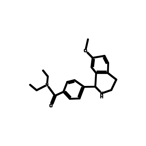 CCN(CC)C(=O)c1ccc(C2NCCc3ccc(OC)cc32)cc1